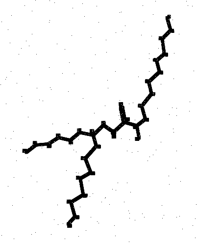 CCCCCCCCCCC(C)C(=O)OCC(CCCCCC)CCCCCCCC